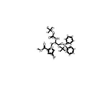 COC(=O)c1cc(Br)cn1C[C@H](CO[Si](c1ccccc1)(c1ccccc1)C(C)(C)C)NC(=O)OC(C)(C)C